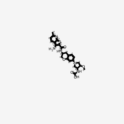 COC1CN(c2ccc3c(c2)OCC(NC(=O)c2sc4nc(C)ccc4c2N)C3)CC1NC(=O)O